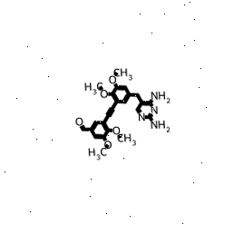 COc1cc(C=O)cc(C#Cc2cc(Cc3cnc(N)nc3N)cc(OC)c2OC)c1OC